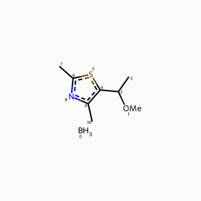 B.COC(C)c1sc(C)nc1C